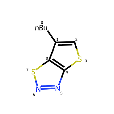 [CH2]CCCc1csc2nnsc12